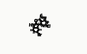 Cn1cc2c(C3C(=O)Nc4ccc(Br)cc43)nc(Cl)nc2n1